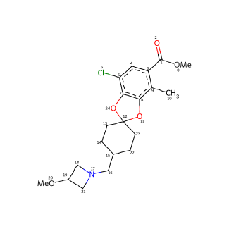 COC(=O)c1cc(Cl)c2c(c1C)OC1(CCC(CN3CC(OC)C3)CC1)O2